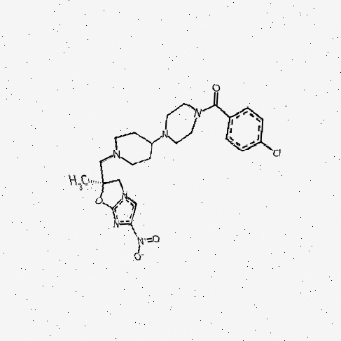 C[C@]1(CN2CCC(N3CCN(C(=O)c4ccc(Cl)cc4)CC3)CC2)Cn2cc([N+](=O)[O-])nc2O1